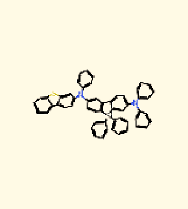 c1ccc(N(c2ccccc2)c2ccc3c(c2)[Si](c2ccccc2)(c2ccccc2)c2ccc(N(c4ccccc4)c4ccc5c(c4)sc4ccccc45)cc2-3)cc1